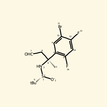 CC(C)(C)[S@@+]([O-])N[C@@](C)(CC=O)c1cc(Br)c(F)cc1F